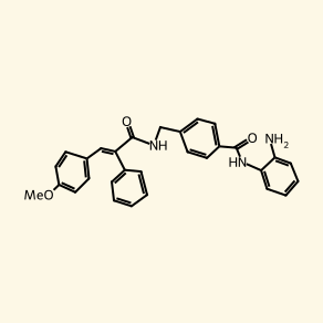 COc1ccc(C=C(C(=O)NCc2ccc(C(=O)Nc3ccccc3N)cc2)c2ccccc2)cc1